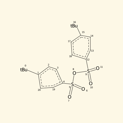 CC(C)(C)c1ccc(S(=O)(=O)OS(=O)(=O)c2ccc(C(C)(C)C)cc2)cc1